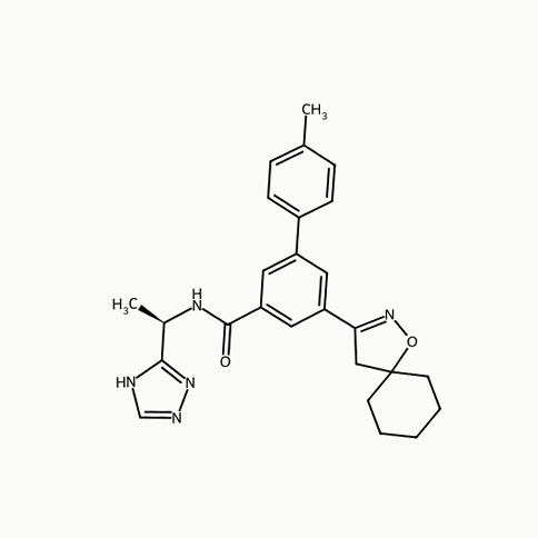 Cc1ccc(-c2cc(C(=O)N[C@H](C)c3nnc[nH]3)cc(C3=NOC4(CCCCC4)C3)c2)cc1